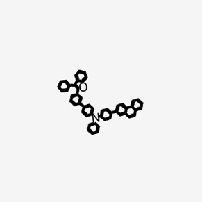 c1ccc(-c2c(-c3cccc(-c4ccc(N(c5ccccc5)c5ccc(-c6ccc7c(ccc8ccccc87)c6)cc5)cc4)c3)oc3ccccc23)cc1